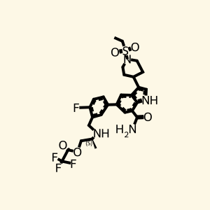 CCS(=O)(=O)N1CCC(c2c[nH]c3c(C(N)=O)cc(-c4ccc(F)c(CN[C@@H](C)COC(=O)C(F)(F)F)c4)cc23)CC1